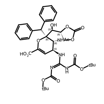 CC(=O)N[C@@H]1[C@@H](NC(=NC(=O)OC(C)(C)C)NC(=O)OC(C)(C)C)C=C(C(=O)O)O[C@@]1(C(c1ccccc1)c1ccccc1)[C@@H](O)[C@H]1COC(=O)O1